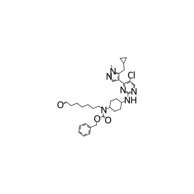 Cn1ncc(-c2nc(NC3CCC(N(CCCCCCC=O)C(=O)OCc4ccccc4)CC3)ncc2Cl)c1CC1CC1